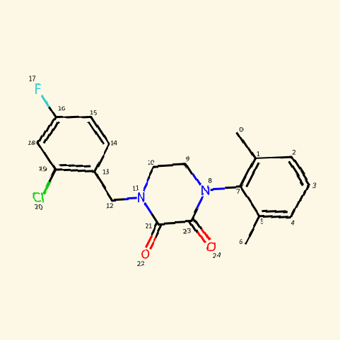 Cc1cccc(C)c1N1CCN(Cc2ccc(F)cc2Cl)C(=O)C1=O